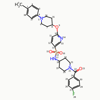 Cc1ccc(N2CCC(Oc3ccc(S(=O)(=O)NC4CCN(C(=O)c5ccc(F)cc5)CC4)cn3)CC2)cc1